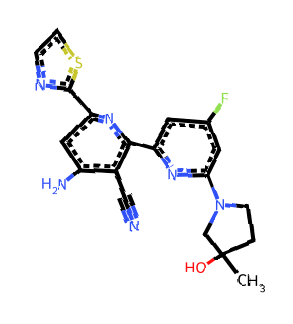 CC1(O)CCN(c2cc(F)cc(-c3nc(-c4nccs4)cc(N)c3C#N)n2)C1